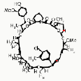 CO[C@H]1C[C@@H]2CC[C@@H](C)[C@@](O)(O2)C(=O)C(=O)N2CCCC[C@H]2C(=O)O[C@H]([C@H](C)C[C@@H]2CC[C@@H](O)[C@H](OC)C2)CC(=O)[C@H](C)/C=C(\C)[C@@H](O)[C@@H](OC)C(=O)[C@H](C)C[C@H](C)C2C=CC(/C=C/1C)ON2c1ccc(Cl)c(C)c1